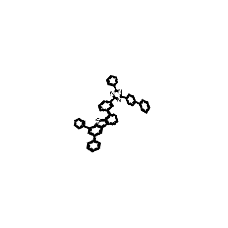 c1ccc(-c2ccc(-c3nc(-c4ccccc4)nc(-c4cccc(-c5cccc6c5sc5c(-c7ccccc7)cc(-c7ccccc7)cc56)c4)n3)cc2)cc1